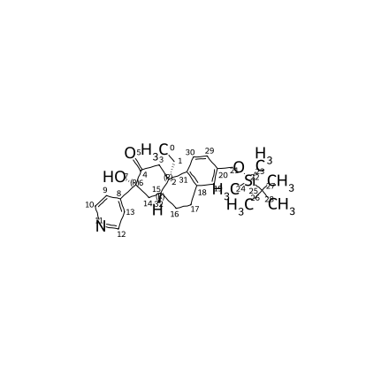 CC[C@@]12CC(=O)[C@](O)(c3ccncc3)C[C@H]1CCc1cc(O[Si](C)(C)C(C)(C)C)ccc12